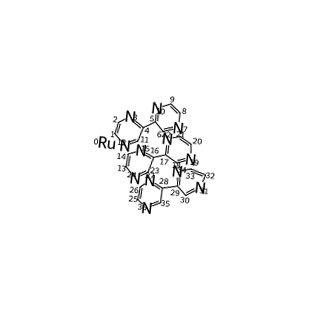 [Ru].c1cnc(-c2cnccn2)cn1.c1cnc(-c2cnccn2)cn1.c1cnc(-c2cnccn2)cn1